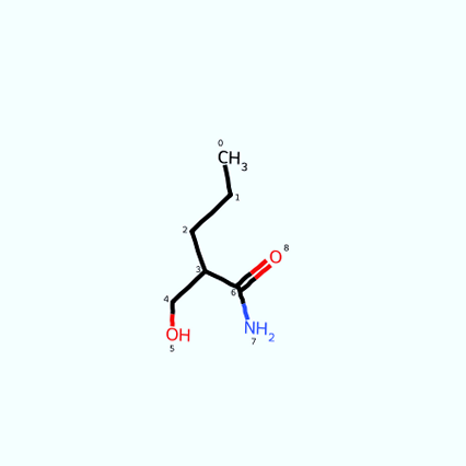 CCCC(CO)C(N)=O